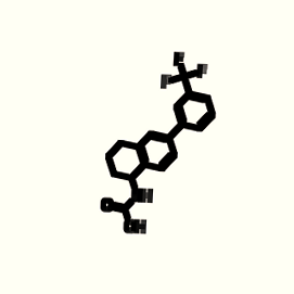 O=C(O)NC1CCCc2cc(-c3cccc(C(F)(F)F)c3)ccc21